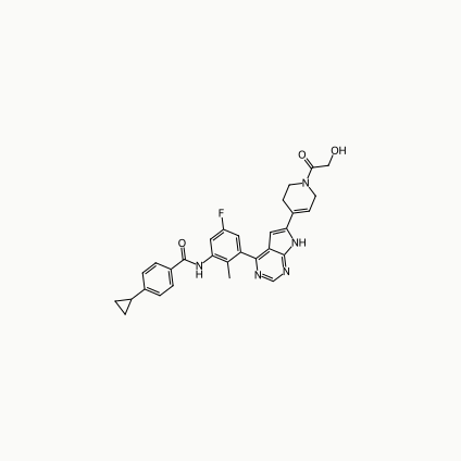 Cc1c(NC(=O)c2ccc(C3CC3)cc2)cc(F)cc1-c1ncnc2[nH]c(C3=CCN(C(=O)CO)CC3)cc12